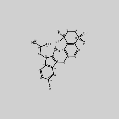 Cc1c(Cc2ccc3c(c2)C(F)(F)CCS3(=O)=O)c2cc(F)ccc2n1CC(O)O